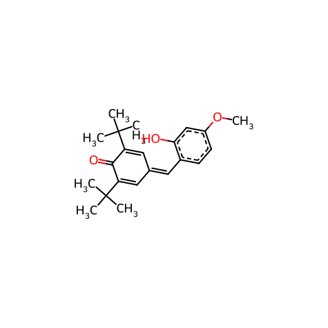 COc1ccc(C=C2C=C(C(C)(C)C)C(=O)C(C(C)(C)C)=C2)c(O)c1